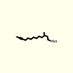 [CH2]C#CCCCCCCCC(C)CCCCCCCCC[CH2]